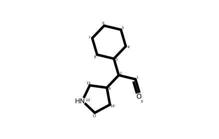 O=CC(C1CCCCC1)C1CCNC1